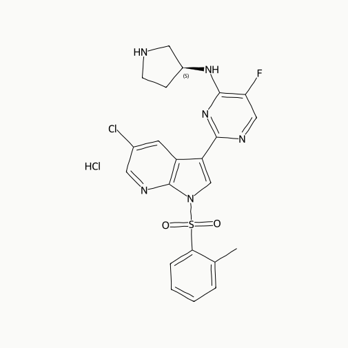 Cc1ccccc1S(=O)(=O)n1cc(-c2ncc(F)c(N[C@H]3CCNC3)n2)c2cc(Cl)cnc21.Cl